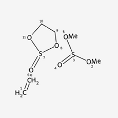 C=C.COS(=O)OC.O=S1OCCO1